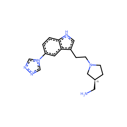 NC[C@@H]1CCN(CCc2c[nH]c3ccc(-n4cnnc4)cc23)C1